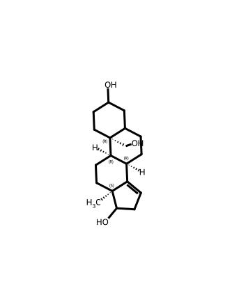 C[C@]12CC[C@@H]3[C@@H](CCC4CC(O)CC[C@@]43CO)C1=CCC2O